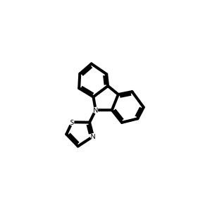 c1ccc2c(c1)c1ccccc1n2-c1nccs1